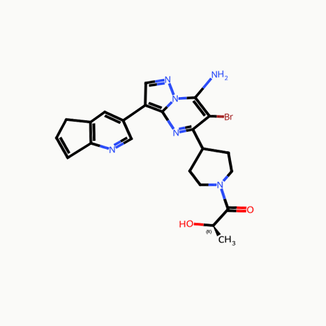 C[C@@H](O)C(=O)N1CCC(c2nc3c(-c4cnc5c(c4)CC=C5)cnn3c(N)c2Br)CC1